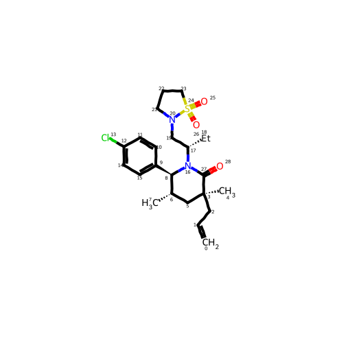 C=CC[C@@]1(C)C[C@H](C)[C@@H](c2ccc(Cl)cc2)N([C@@H](CC)CN2CCCS2(=O)=O)C1=O